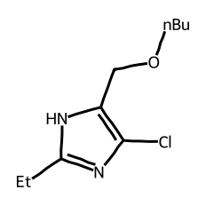 CCCCOCc1[nH]c(CC)nc1Cl